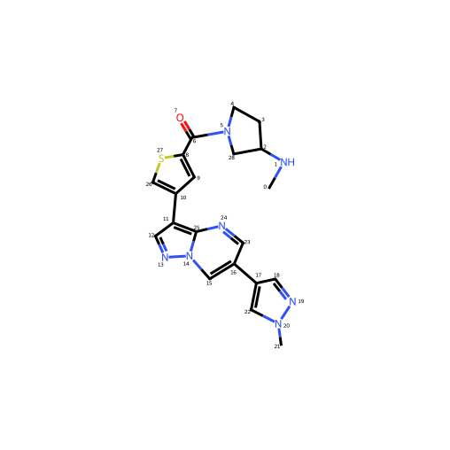 CNC1CCN(C(=O)c2cc(-c3cnn4cc(-c5cnn(C)c5)cnc34)cs2)C1